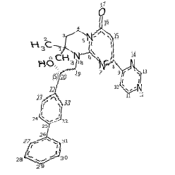 CC1(C)CCn2c(nc(-c3ccncn3)cc2=O)N1C[C@@H](O)c1ccc(-c2ccccc2)cc1